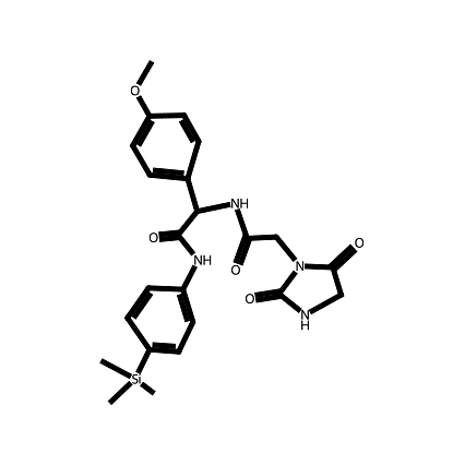 COc1ccc(C(NC(=O)CN2C(=O)CNC2=O)C(=O)Nc2ccc([Si](C)(C)C)cc2)cc1